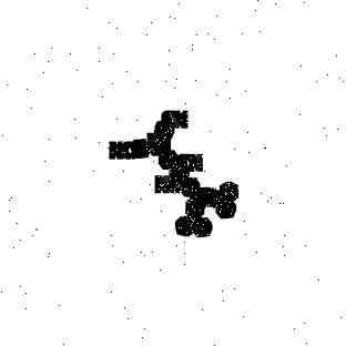 N#Cc1ccc(-c2cc(-c3ccc(-c4cc(C#N)c(-c5ccc(-n6c7ccc(-n8c9ccccc9c9ccccc98)cc7c7cc(-n8c9ccccc9c9ccccc98)ccc76)cc5)cc4C#N)cc3)nc(-c3ccc(C#N)cc3)n2)cc1